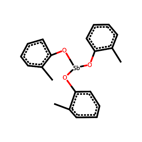 Cc1ccccc1[O][Sb]([O]c1ccccc1C)[O]c1ccccc1C